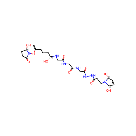 C=C(CCC[C@@H](O)NCC(=O)NCC(=O)NCC(=O)NNC(=O)CCN1[C@H](O)C=C[C@@H]1O)ON1C(=O)CC[C@H]1O